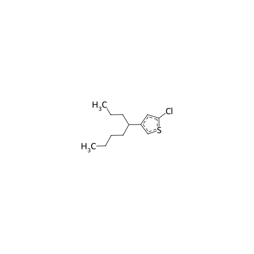 CCCCC(CCC)c1csc(Cl)c1